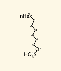 [CH2]CCCCCCCCCCCOS(=O)(=O)O